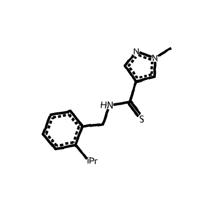 CC(C)c1ccccc1CNC(=S)c1cnn(C)c1